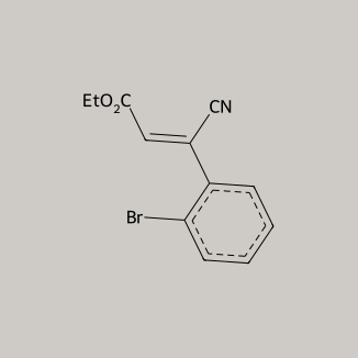 CCOC(=O)C=C(C#N)c1ccccc1Br